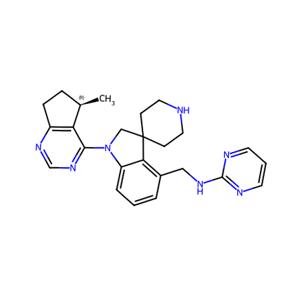 C[C@@H]1CCc2ncnc(N3CC4(CCNCC4)c4c(CNc5ncccn5)cccc43)c21